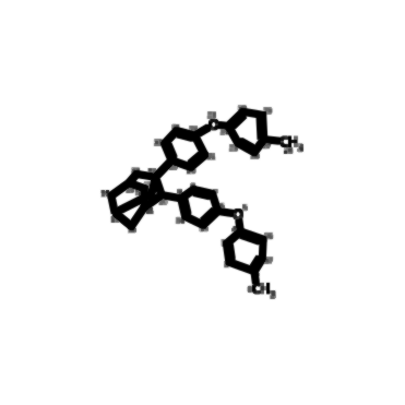 Cc1ccc(Oc2ccc(C3C4CC5CC(C4)CC3(c3ccc(Oc4ccc(C)cc4)cc3)C5)cc2)cc1